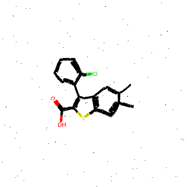 Cc1cc2sc(C(=O)O)c(-c3ccccc3Cl)c2cc1C